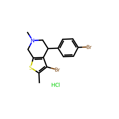 Cc1sc2c(c1Br)C(c1ccc(Br)cc1)CN(C)C2.Cl